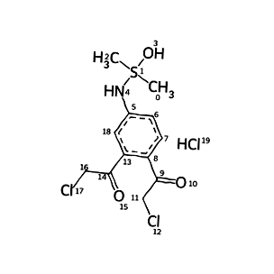 CS(C)(O)Nc1ccc(C(=O)CCl)c(C(=O)CCl)c1.Cl